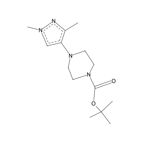 Cc1nn(C)cc1N1CCN(C(=O)OC(C)(C)C)CC1